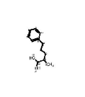 CC(CCCc1ccccc1)C(O)O